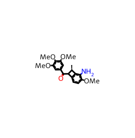 COc1ccc2c(c1N)[C@H](C)C2C(=O)c1cc(OC)c(OC)c(OC)c1